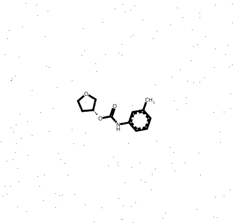 Cc1cccc(NC(=O)O[C@@H]2CCOC2)c1